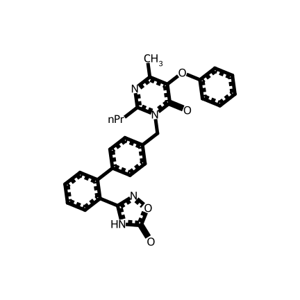 CCCc1nc(C)c(Oc2ccccc2)c(=O)n1Cc1ccc(-c2ccccc2-c2noc(=O)[nH]2)cc1